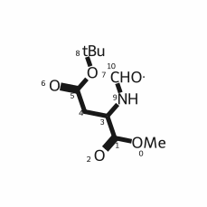 COC(=O)C(CC(=O)OC(C)(C)C)N[C]=O